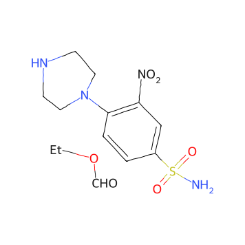 CCOC=O.NS(=O)(=O)c1ccc(N2CCNCC2)c([N+](=O)[O-])c1